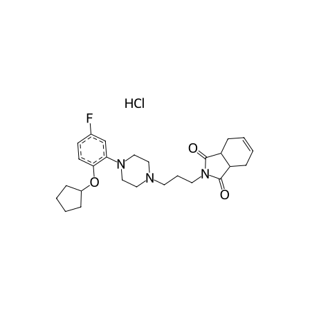 Cl.O=C1C2CC=CCC2C(=O)N1CCCN1CCN(c2cc(F)ccc2OC2CCCC2)CC1